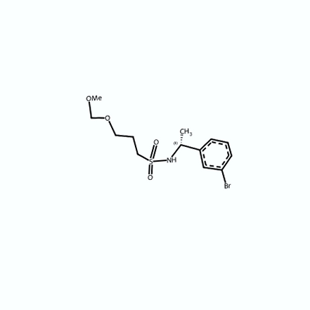 COCOCCCS(=O)(=O)N[C@H](C)c1cccc(Br)c1